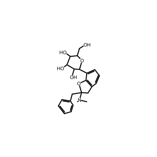 CN(C)C1(Cc2ccccc2)Cc2cccc(C3OC(CO)C(O)C(O)C3O)c2O1